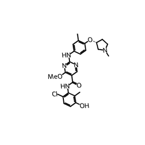 COc1nc(Nc2ccc(O[C@@H]3CCN(C)C3)c(C)c2)ncc1C(=O)Nc1c(Cl)ccc(O)c1C